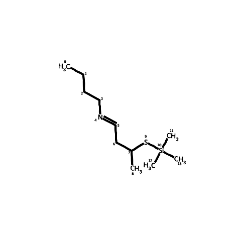 CCCCN=CCC(C)S[Si](C)(C)C